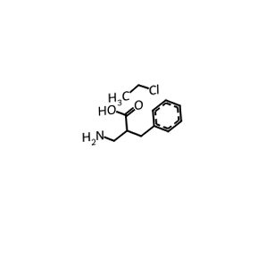 CCCl.NCC(Cc1ccccc1)C(=O)O